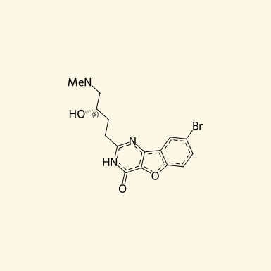 CNC[C@@H](O)CCc1nc2c(oc3ccc(Br)cc32)c(=O)[nH]1